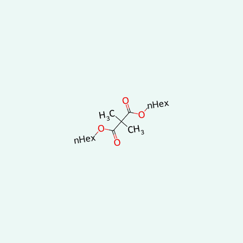 CCCCCCOC(=O)C(C)(C)C(=O)OCCCCCC